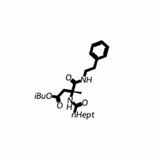 CCCCCCCC(=O)N[C@](C)(CC(=O)OCC(C)C)C(=O)NCCc1ccccc1